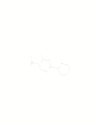 COc1nc(-c2ccccc2Cl)ncc1C(N)=O